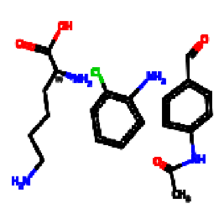 CC(=O)Nc1ccc(C=O)cc1.NCCCC[C@H](N)C(=O)O.Nc1ccccc1Cl